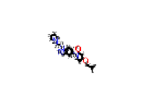 O=c1cc(OCC2CC2)ccn1-c1ccc2c(cnn2CCN2CCCC2)c1